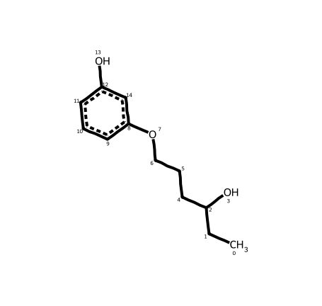 CCC(O)CCCOc1cccc(O)c1